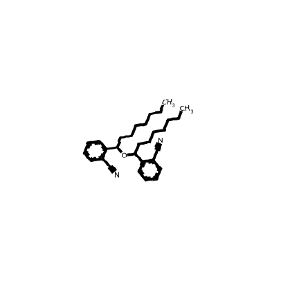 CCCCCCCC(OC(CCCCCCC)c1ccccc1C#N)c1ccccc1C#N